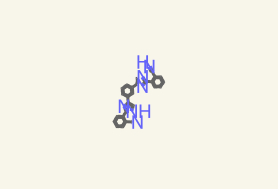 N#Cc1ccccc1-c1nc(-c2cccc(-c3c[nH]c(-c4ccccc4C#N)n3)c2)c[nH]1